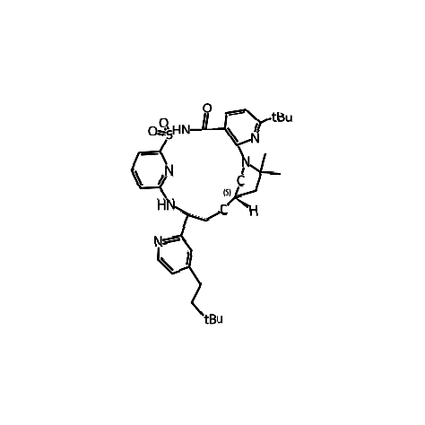 CC(C)(C)CCc1ccnc(C2CC[C@@H]3CN(c4nc(C(C)(C)C)ccc4C(=O)NS(=O)(=O)c4cccc(n4)N2)C(C)(C)C3)c1